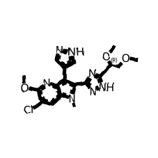 COC[C@H](OC)c1nc(-c2c(-c3cn[nH]c3)c3nc(OC)c(Cl)cc3n2C)n[nH]1